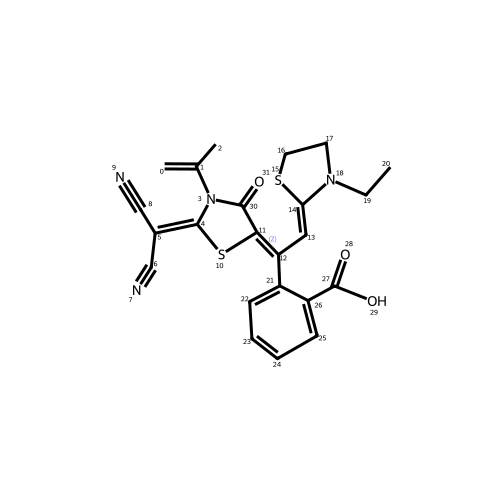 C=C(C)n1c(=C(C#N)C#N)s/c(=C(/C=C2SCCN2CC)c2ccccc2C(=O)O)c1=O